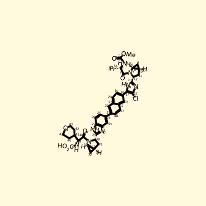 COC(=O)N[C@H](C(=O)N1[C@@H]2C[C@@H]2C[C@H]1c1nc(Cl)c(-c2ccc3cc(-c4ccc5[nH]c([C@@H]6C[C@H]7C[C@H]7N6C(=O)[C@@H](NC(=O)O)C6CCOCC6)nc5c4)ccc3c2)[nH]1)C(C)C